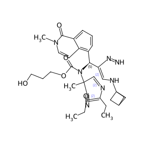 CC/C(Cl)=C(CC)/N=C\C(C)(C#N)N(C(=O)OCCCO)[C@H](/C(=C/NC12CC(C1)C2)N=N)c1cccc2c(=O)n(C)ccc12